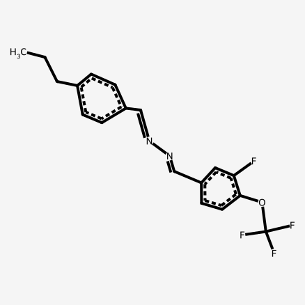 CCCc1ccc(C=NN=Cc2ccc(OC(F)(F)F)c(F)c2)cc1